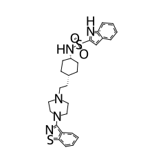 O=S(=O)(N[C@H]1CC[C@@H](CCN2CCN(c3nsc4ccccc34)CC2)CC1)c1cc2ccccc2[nH]1